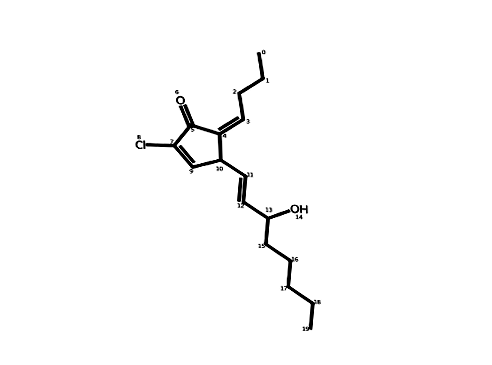 CCCC=C1C(=O)C(Cl)=CC1C=CC(O)CCCCC